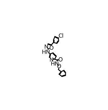 O=C(NOCc1ccccc1)c1ccc(Nc2ncc(-c3ccc(Cl)cc3)o2)cn1